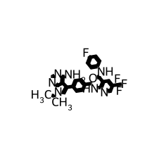 CC(C)n1cc(-c2ccc(CNc3ncc(C(F)(F)F)cc3C(=O)Nc3ccc(F)cc3)cc2)c2c(N)ncnc21